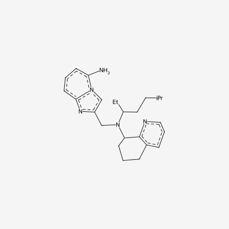 CCC(CCC(C)C)N(Cc1cn2c(N)cccc2n1)C1CCCc2cccnc21